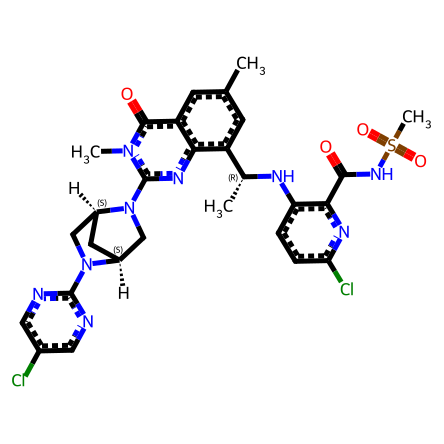 Cc1cc([C@@H](C)Nc2ccc(Cl)nc2C(=O)NS(C)(=O)=O)c2nc(N3C[C@@H]4C[C@H]3CN4c3ncc(Cl)cn3)n(C)c(=O)c2c1